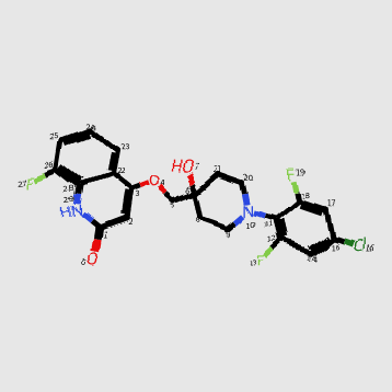 O=c1cc(OCC2(O)CCN(c3c(F)cc(Cl)cc3F)CC2)c2cccc(F)c2[nH]1